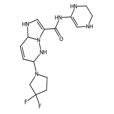 O=C(NC1=CNCCN1)C1=CNC2C=CC(N3CCC(F)(F)C3)NN12